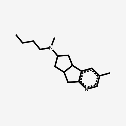 CCCCN(C)C1CC2Cc3ncc(C)cc3C2C1